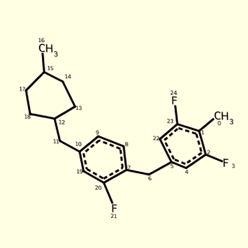 Cc1c(F)cc(Cc2ccc(CC3CCC(C)CC3)cc2F)cc1F